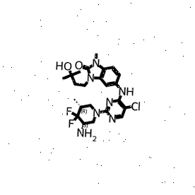 C[C@@H]1CN(c2ncc(Cl)c(Nc3ccc4c(c3)n(CCC(C)(C)O)c(=O)n4C)n2)C[C@H](N)C1(F)F